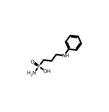 NP(=O)(O)CCCNc1ccccc1